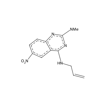 C=CCNc1nc(NC)nc2ccc([N+](=O)[O-])cc12